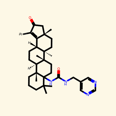 CC(C)C1=C2[C@H]3CC[C@@H]4[C@@]5(C)CCCC(C)(C)C5(NC(=O)NCc5cncnc5)CC[C@@]4(C)[C@]3(C)CC[C@@]2(C)CC1=O